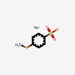 CSc1ccc(S(=O)(=O)[O-])cc1.[Na+]